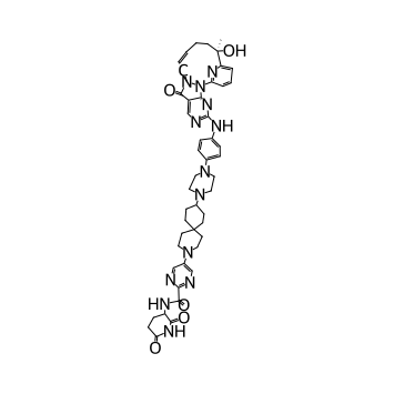 C[C@@]1(O)CC/C=C\Cn2c(=O)c3cnc(Nc4ccc(N5CCN(C6CCC7(CC6)CCN(c6cnc(C(=O)NC8CCC(=O)NC8=O)nc6)CC7)CC5)cc4)nc3n2-c2cccc1n2